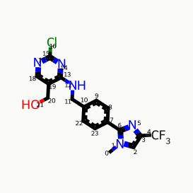 Cn1cc(C(F)(F)F)nc1-c1ccc(CNc2nc(Cl)ncc2CO)cc1